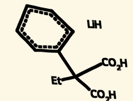 CCC(C(=O)O)(C(=O)O)c1ccccc1.[LiH]